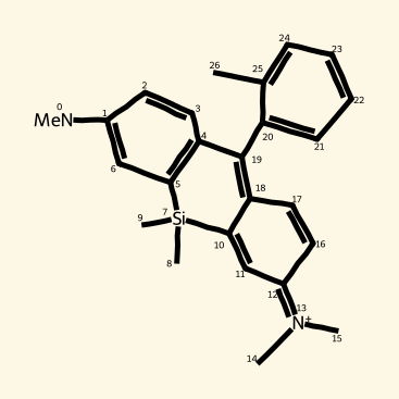 CNc1ccc2c(c1)[Si](C)(C)C1=CC(=[N+](C)C)C=CC1=C2c1ccccc1C